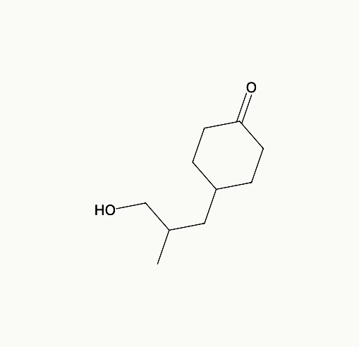 CC(CO)CC1CCC(=O)CC1